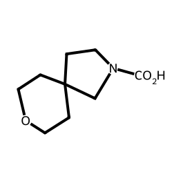 O=C(O)N1CCC2(CCOCC2)C1